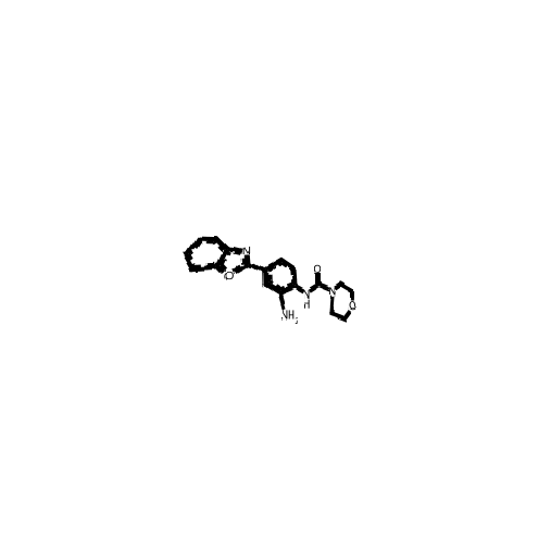 Nc1cc(-c2nc3ccccc3o2)ccc1NC(=O)N1CCOCC1